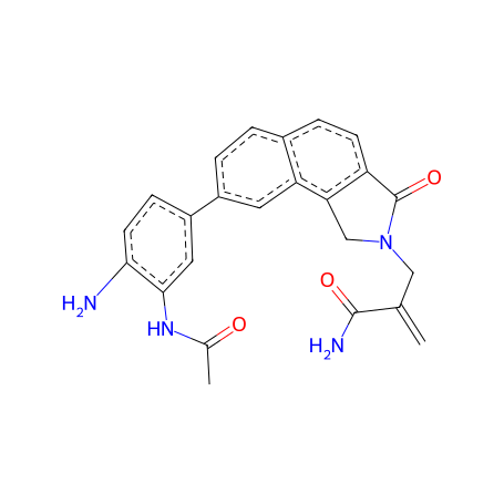 C=C(CN1Cc2c(ccc3ccc(-c4ccc(N)c(NC(C)=O)c4)cc23)C1=O)C(N)=O